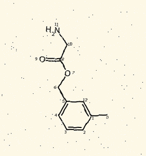 Cc1cccc(COC(=O)CN)c1